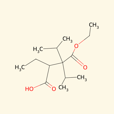 CCOC(=O)C(C(C)C)(C(C)C)C(CC)C(=O)O